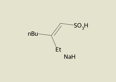 CCCCC(=CS(=O)(=O)O)CC.[NaH]